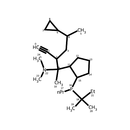 C#CC(CC(C)C1CC1)C(C)(C1CCCC1P(CCC)C(C)(C)CC)N(C)C